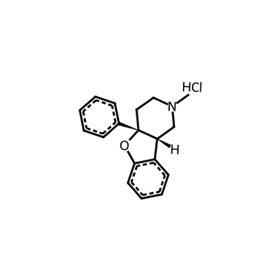 CN1CC[C@@]2(c3ccccc3)Oc3ccccc3[C@H]2C1.Cl